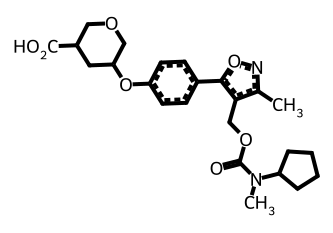 Cc1noc(-c2ccc(OC3COCC(C(=O)O)C3)cc2)c1COC(=O)N(C)C1CCCC1